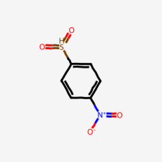 O=[N+]([O-])c1ccc([SH](=O)=O)cc1